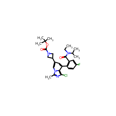 CCN(C(=O)c1cc(F)ccc1-c1cc(C2CN(C(=O)OC(C)(C)C)C2)cn2c(C)nc(Cl)c12)C(C)C